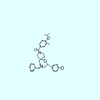 Cc1cc(C(=O)N2CCC3(CC2)CN(Cc2ccccc2)CC(c2ccc(Cl)cc2)O3)ccc1OC(C)C